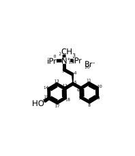 CC(C)[N+](C)(CC[C@@H](c1ccccc1)c1ccc(O)cc1)C(C)C.[Br-]